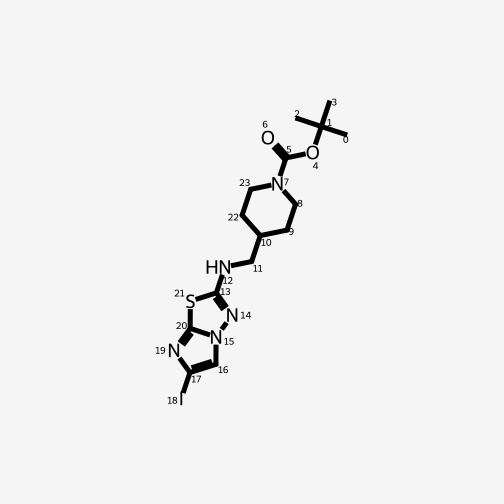 CC(C)(C)OC(=O)N1CCC(CNc2nn3cc(I)nc3s2)CC1